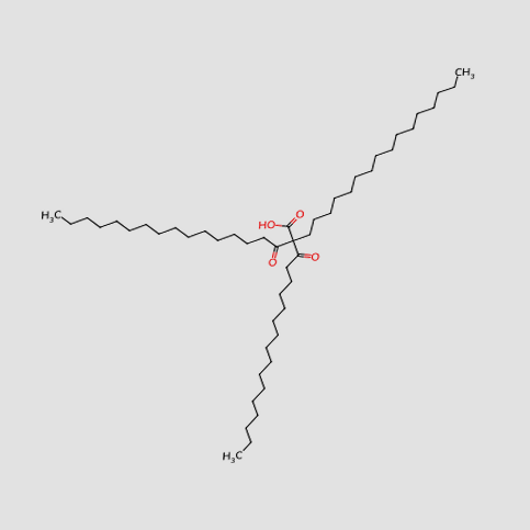 CCCCCCCCCCCCCCCCC(C(=O)O)(C(=O)CCCCCCCCCCCCCCC)C(=O)CCCCCCCCCCCCCCC